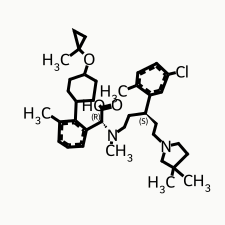 Cc1ccc(Cl)cc1[C@@H](CCN1CCC(C)(C)C1)CCN(C)[C@@H](C(=O)O)c1cccc(C)c1C1CCC(OC2(C)CC2)CC1